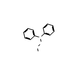 OBON(c1ccccc1)c1ccccc1